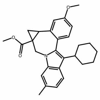 COC(=O)C12CC1c1cc(OC)ccc1-c1c(C3CCCCC3)c3ccc(C)cc3n1C2